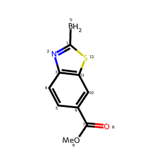 Bc1nc2ccc(C(=O)OC)cc2s1